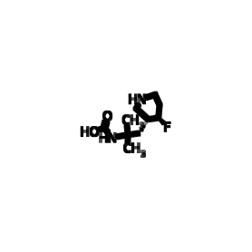 CC(C)(C[C@@H]1CNCC[C@H]1F)NC(=O)O